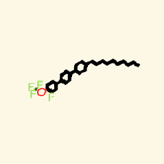 CCCCCCCCCCC1CCC(c2ccc(-c3ccc(OC(F)(F)F)c(F)c3)cc2)CC1